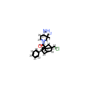 CC1(C)CN(C(=O)C23CC4CC(CCl)(C2)C[C@](c2ccccc2)(C4)C3)CC[C@@H]1N